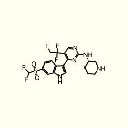 O=S(=O)(c1ccc2c(-c3nc(N[C@H]4CCCNC4)ncc3C(F)(F)CF)c[nH]c2c1)C(F)F